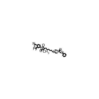 CC1=C(CCCCCCN2CCN(C(=O)COc3ccccc3)CC2)C(=O)N(c2ccc(C#N)c(C(F)(F)F)c2)C1=O